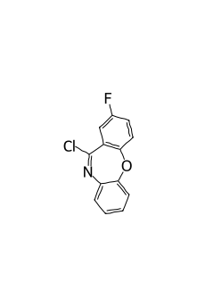 Fc1ccc2c(c1)C(Cl)=Nc1ccccc1O2